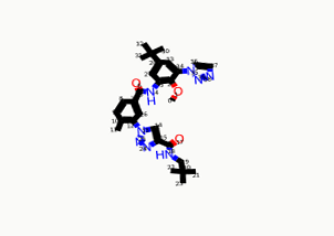 COc1c(NC(=O)c2ccc(C)c(-n3cc(C(=O)NCC(C)(C)C)nn3)c2)cc(C(C)(C)C)cc1-n1ccnn1